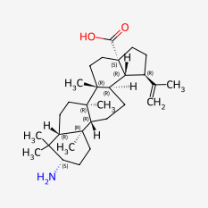 C=C(C)[C@@H]1CC[C@]2(C(=O)O)CC[C@]3(C)[C@H](CC[C@@H]4[C@@]5(C)CC[C@H](N)C(C)(C)[C@@H]5CC[C@]43C)[C@@H]12